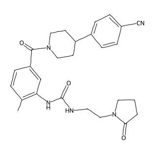 Cc1ccc(C(=O)N2CCC(c3ccc(C#N)cc3)CC2)cc1NC(=O)NCCN1CCCC1=O